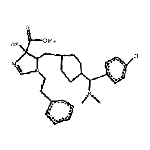 CCCCC1(C(=O)OC)N=CN(CCc2ccccc2)C1CC1CCC(C(c2ccc(Cl)cc2)N(C)C)CC1